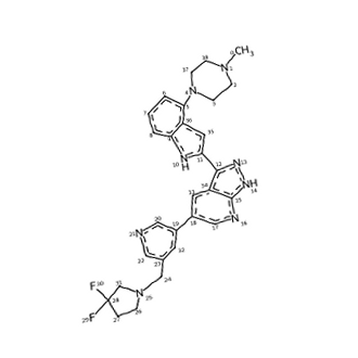 CN1CCN(c2cccc3[nH]c(-c4n[nH]c5ncc(-c6cncc(CN7CCC(F)(F)C7)c6)cc45)cc23)CC1